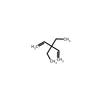 C=CC(C=C)(CC)CC